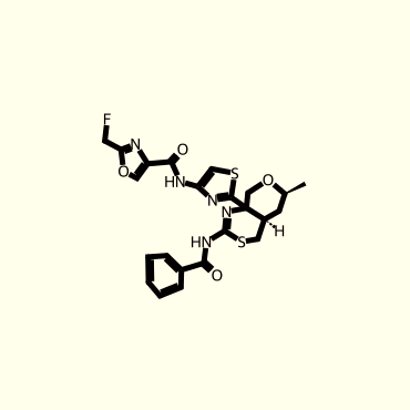 C[C@H]1C[C@H]2CSC(NC(=O)c3ccccc3)=NC2(c2nc(NC(=O)c3coc(CF)n3)cs2)CO1